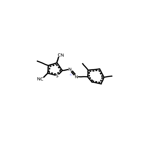 Cc1ccc(/N=N/c2sc(C#N)c(C)c2C#N)c(C)c1